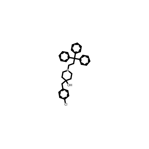 OC1(Cc2ccc(Cl)cc2)CCN(CCC(c2ccccc2)(c2ccccc2)c2ccccc2)CC1